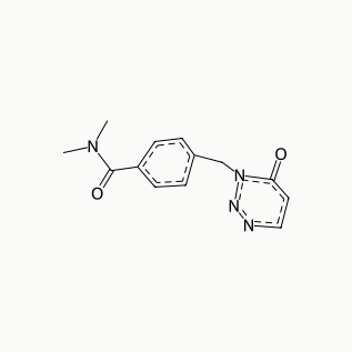 CN(C)C(=O)c1ccc(Cn2nnccc2=O)cc1